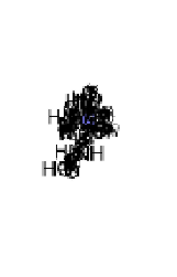 CC(C)(C)OC(=O)Nc1nc(/C(=N/O[C@@H](COc2ccc(C(=N)NC3CCN(C(=O)O)CC3)cc2)C(=O)OC(c2ccccc2)c2ccccc2)C(=O)N[C@@H]2C(=O)N[C@@H]2Cn2cncn2)cs1